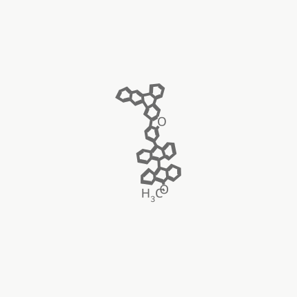 COc1c2ccccc2c(-c2c3ccccc3c(-c3ccc4c(c3)oc3cc5c6ccccc6c6cc7ccccc7cc6c5cc34)c3ccccc23)c2ccccc12